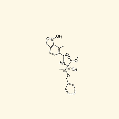 COC(=O)[C@](O)(NC(=O)c1ccc2c(c1C)B(O)OC2)[C@@H](C)OCc1ccccc1